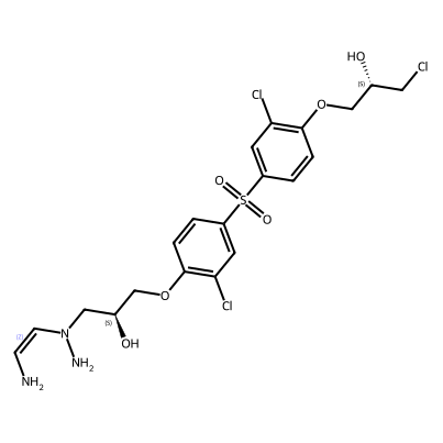 N/C=C\N(N)C[C@H](O)COc1ccc(S(=O)(=O)c2ccc(OC[C@H](O)CCl)c(Cl)c2)cc1Cl